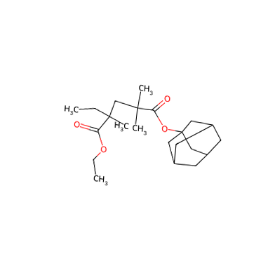 CCOC(=O)C(C)(CC)CC(C)(C)C(=O)OC12CC3CC(CC(C3)C1)C2